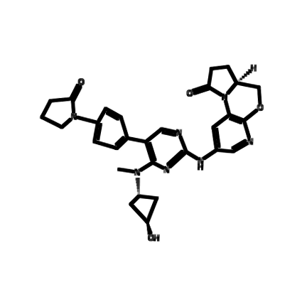 CN(c1nc(Nc2cnc3c(c2)N2C(=O)CC[C@H]2CO3)ncc1-c1ccc(N2CCCC2=O)cc1)[C@H]1C[C@H](O)C1